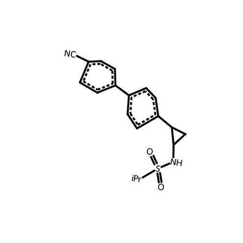 CC(C)S(=O)(=O)NC1CC1c1ccc(-c2ccc(C#N)cc2)cc1